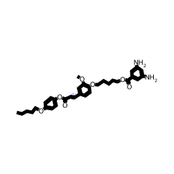 CCCCCOc1ccc(OC(=O)/C=C/c2ccc(OCCCCCOC(=O)c3cc(N)cc(N)c3)c(OC)c2)cc1